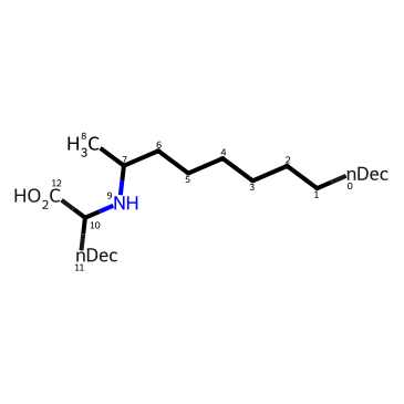 CCCCCCCCCCCCCCCCC(C)NC(CCCCCCCCCC)C(=O)O